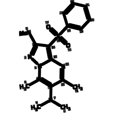 CNc1nn2c(C)c(N(C)C)c(C)nc2c1S(=O)(=O)c1ccccc1